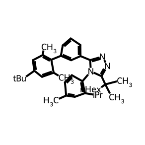 CCCCCCC(C)(C)c1nnc(-c2cccc(-c3c(C)cc(C(C)(C)C)cc3C)c2)n1-c1ccc(C)cc1C(C)C